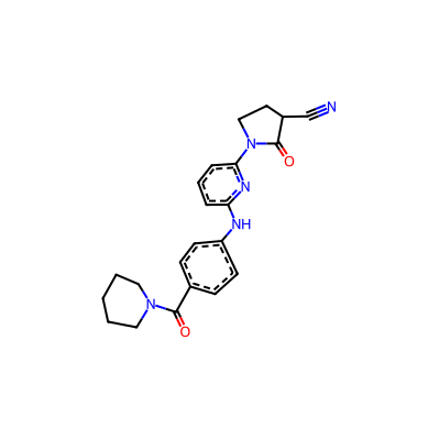 N#CC1CCN(c2cccc(Nc3ccc(C(=O)N4CCCCC4)cc3)n2)C1=O